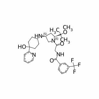 COC(C)(C)[C@@H]1C[C@H](NC2CCC(O)(c3ccccn3)CC2)CN1C(=O)CNC(=O)c1cccc(C(F)(F)F)c1